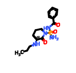 CCCN[C@H]1CCCN(P(N)(=O)NC(=O)c2ccccc2)C1=O